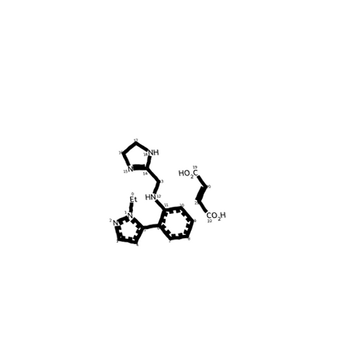 CCn1nccc1-c1ccccc1NCC1=NCCN1.O=C(O)/C=C/C(=O)O